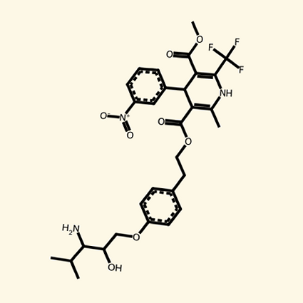 COC(=O)C1=C(C(F)(F)F)NC(C)=C(C(=O)OCCc2ccc(OCC(O)C(N)C(C)C)cc2)C1c1cccc([N+](=O)[O-])c1